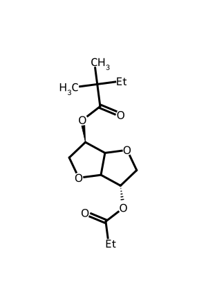 CCC(=O)O[C@H]1COC2C1OC[C@H]2OC(=O)C(C)(C)CC